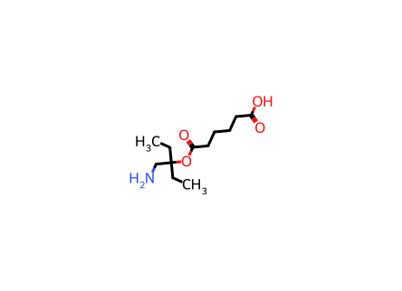 CCC(CC)(CN)OC(=O)CCCCC(=O)O